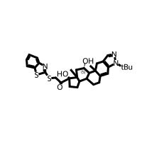 CC12Cc3cnn(C(C)(C)C)c3C=C1CCC1C2[C@@H](O)CC2(C)C1CCC2(O)C(=O)CSc1nc2ccccc2s1